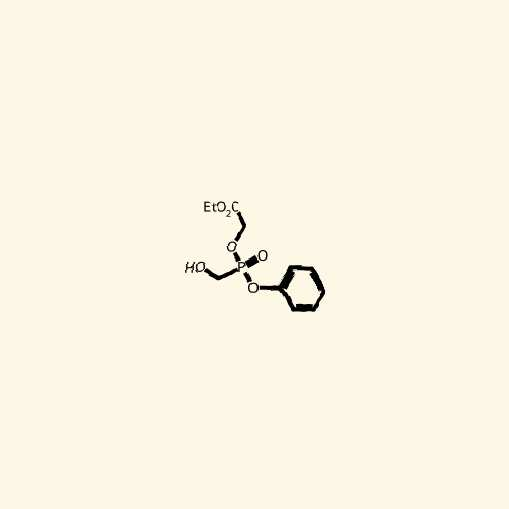 CCOC(=O)COP(=O)(CO)Oc1ccccc1